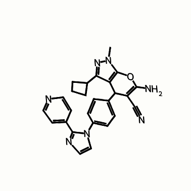 Cn1nc(C2CCC2)c2c1OC(N)=C(C#N)C2c1ccc(-n2ccnc2-c2ccncc2)cc1